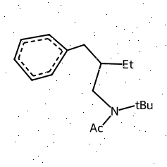 CCC(Cc1ccccc1)CN(C(C)=O)C(C)(C)C